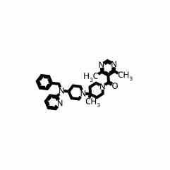 Cc1ncnc(C)c1C(=O)N1CCC(C)(N2CCC(N(Cc3ccccc3)c3ccccn3)CC2)CC1